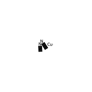 C#N.C#N.[Cu]